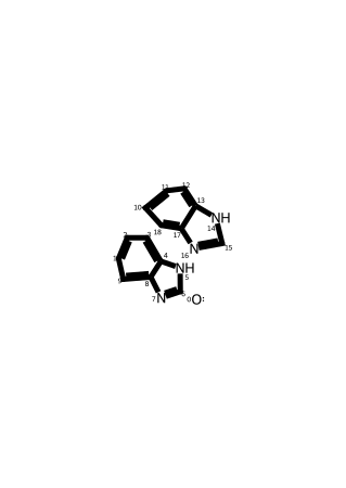 [O].c1ccc2[nH]cnc2c1.c1ccc2[nH]cnc2c1